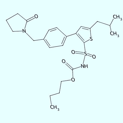 CCCCOC(=O)NS(=O)(=O)c1sc(CC(C)C)cc1-c1ccc(CN2CCCC2=O)cc1